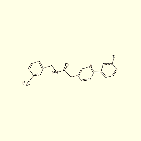 Cc1cccc(CNC(=O)Cc2ccc(-c3cccc(F)c3)nc2)c1